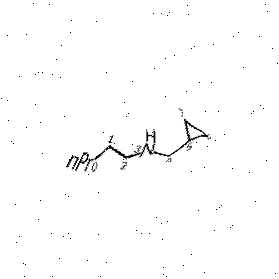 CCCCCNCC1CC1